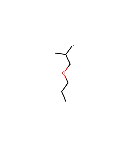 [CH2]C(C)COCCC